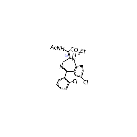 CCOC(=O)/C(NC(C)=O)=C1/CN=C(c2ccccc2Cl)c2cc(Cl)ccc2N1